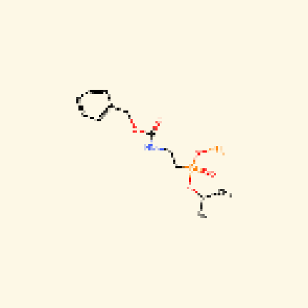 CC(=O)C(C)OP(=O)(CCNC(=O)OCc1ccccc1)OP